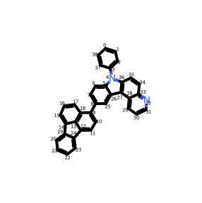 c1ccc(-n2c3ccc(-c4ccc5c6c(cccc46)-c4ccccc4-5)cc3c3c4cccnc4ccc32)cc1